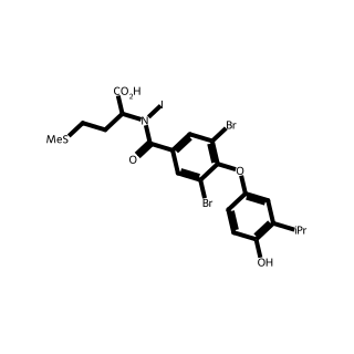 CSCCC(C(=O)O)N(I)C(=O)c1cc(Br)c(Oc2ccc(O)c(C(C)C)c2)c(Br)c1